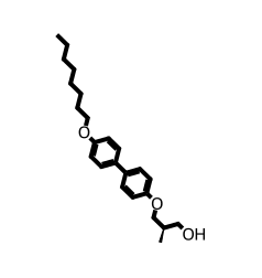 CCCCCCCCOc1ccc(-c2ccc(OC[C@H](C)CO)cc2)cc1